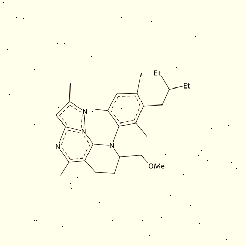 CCC(CC)Cc1c(C)cc(C)c(N2c3c(c(C)nc4cc(C)nn34)CCC2COC)c1C